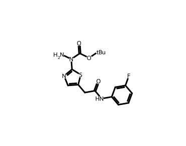 CC(C)(C)OC(=O)N(N)c1ncc(CC(=O)Nc2cccc(F)c2)s1